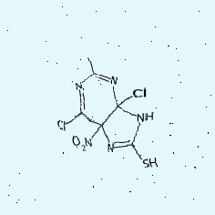 CC1=NC2(Cl)NC(S)=NC2([N+](=O)[O-])C(Cl)=N1